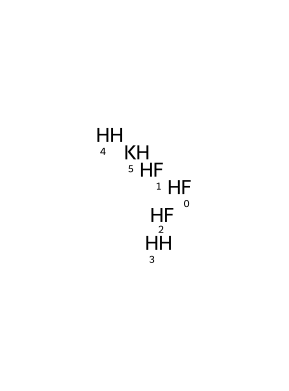 F.F.F.[HH].[HH].[KH]